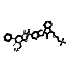 C[C@@H]1[C@H](c2ccccc2)C[C@H](NS(=O)(=O)c2cnc3c(c2)C[C@@]2(C3)C(=O)N(COCC[Si](C)(C)C)c3ncccc32)C(=O)N1CC(F)(F)F